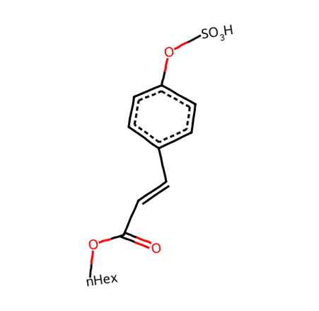 CCCCCCOC(=O)/C=C/c1ccc(OS(=O)(=O)O)cc1